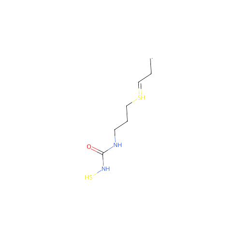 [CH2]CC=[SH]CCCNC(=O)NS